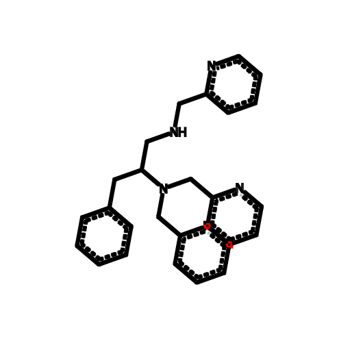 c1ccc(CC(CNCc2ccccn2)N(Cc2ccccn2)Cc2ccccn2)cc1